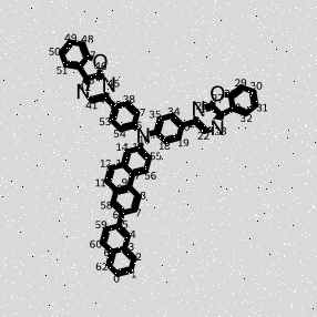 c1ccc2cc(-c3ccc4c(ccc5cc(N(c6ccc(-c7cnc8c(n7)oc7ccccc78)cc6)c6ccc(-c7cnc8c(n7)oc7ccccc78)cc6)ccc54)c3)ccc2c1